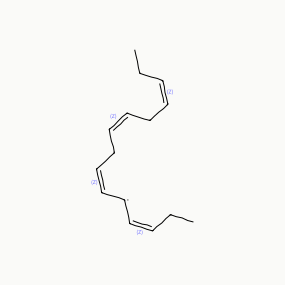 CC/C=C\[CH]/C=C\C/C=C\C/C=C\CC